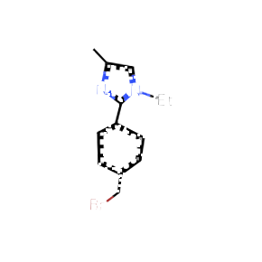 CCn1cc(C)nc1-c1ccc(CBr)cc1